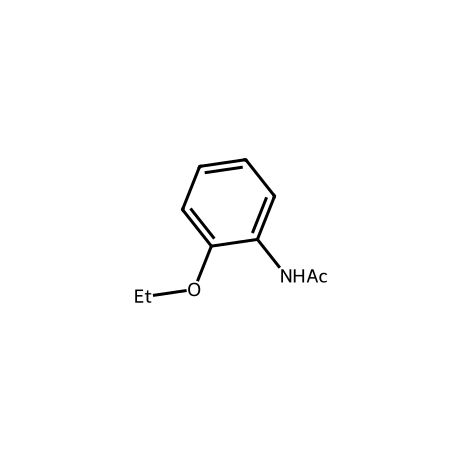 CCOc1ccccc1NC(C)=O